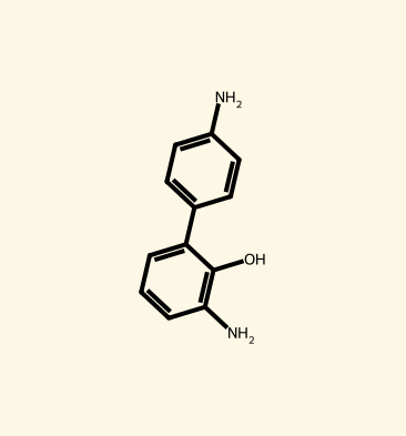 Nc1ccc(-c2cccc(N)c2O)cc1